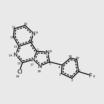 Fc1ccc(-c2nc3c4ncccc4nc(Cl)n3n2)cc1